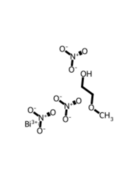 COCCO.O=[N+]([O-])[O-].O=[N+]([O-])[O-].O=[N+]([O-])[O-].[Bi+3]